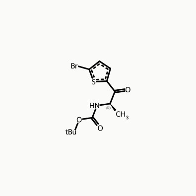 C[C@@H](NC(=O)OC(C)(C)C)C(=O)c1ccc(Br)s1